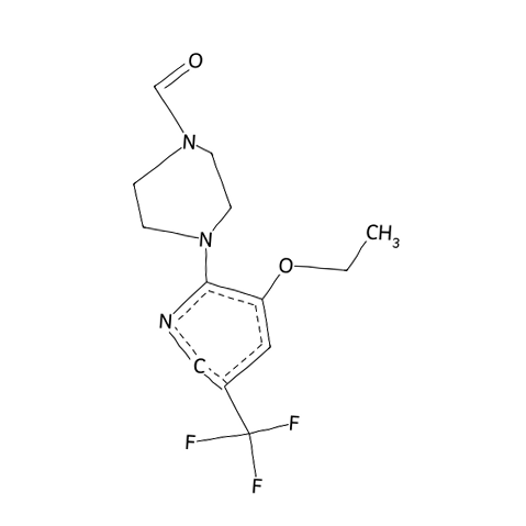 CCOc1cc(C(F)(F)F)cnc1N1CCN(C=O)CC1